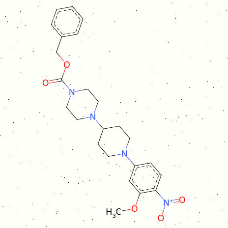 COc1cc(N2CCC(N3CCN(C(=O)OCc4ccccc4)CC3)CC2)ccc1[N+](=O)[O-]